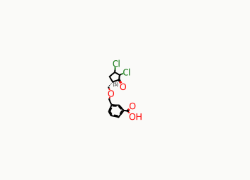 O=C(O)c1cccc(COC[C@@H]2CC(Cl)C(Cl)C2=O)c1